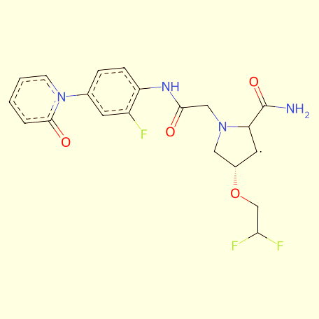 NC(=O)C1[CH][C@H](OCC(F)F)CN1CC(=O)Nc1ccc(-n2ccccc2=O)cc1F